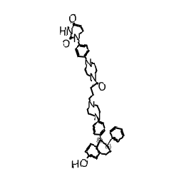 O=C1CCN(c2ccc(N3CCN(C(=O)CCCN4CCN(c5ccc([C@@H]6c7ccc(O)cc7CC[C@@H]6c6ccccc6)cc5)CC4)CC3)cc2)C(=O)N1